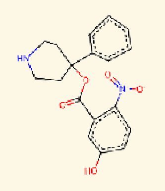 O=C(OC1(c2ccccc2)CCNCC1)c1cc(O)ccc1[N+](=O)[O-]